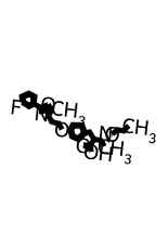 CCCON=C(C)C(Cc1ccc(OCCc2nc(-c3cccc(F)c3)oc2C)cc1)C(=O)O